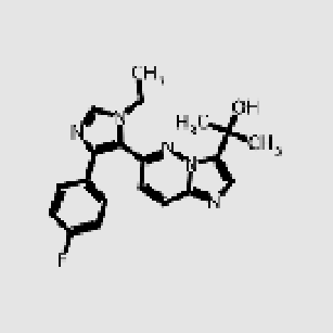 CCn1cnc(-c2ccc(F)cc2)c1-c1ccc2ncc(C(C)(C)O)n2n1